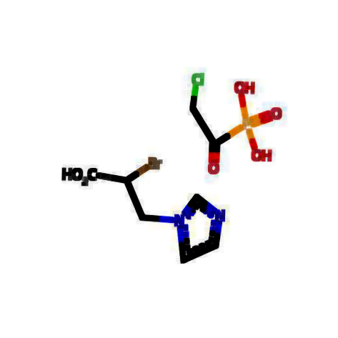 O=C(CCl)P(=O)(O)O.O=C(O)C(Br)Cn1ccnc1